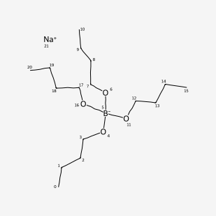 CCCCO[B-](OCCCC)(OCCCC)OCCCC.[Na+]